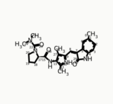 Cc1ccc2c(c1)/C(=C/c1[nH]c(C)c(NC(=O)[C@H]3CCCN3C(=O)N(C)C)c1C)C(=O)N2